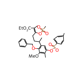 CCOC(=O)/C(C)=C(\CCC(C)c1cc(OS(=O)(=O)c2ccc(C)cc2)c(C)c(OC)c1OCc1ccccc1)OS(C)(=O)=O